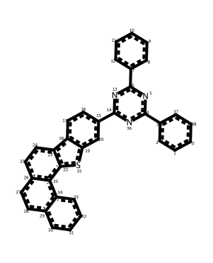 c1ccc(-c2nc(-c3ccccc3)nc(-c3ccc4c(c3)sc3c4ccc4ccc5ccccc5c43)n2)cc1